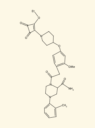 CCOc1c(N2CCC(Oc3ccc(CC(=O)N4CCN(c5ccccc5C)CC4C(N)=O)c(OC)c3)CC2)c(=O)c1=O